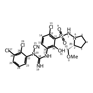 COC[C@H]1CCCN1NS(=O)(=O)c1c(Cl)ccc(NC(=N)N(C#N)c2cccc(Cl)c2Cl)c1O